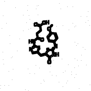 COc1ccc(N=C2NC(=O)C(=Cc3cnc(NC(=O)CCC(=O)O)s3)S2)cc1